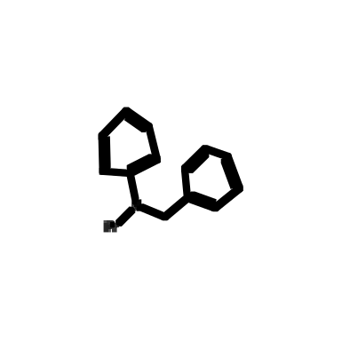 CC(C)N(Cc1ccccc1)c1ccccc1